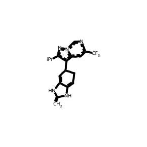 C=C1NC2=CCC(c3c(C(C)C)nn4cnc(C(F)(F)F)cc34)C=C2N1